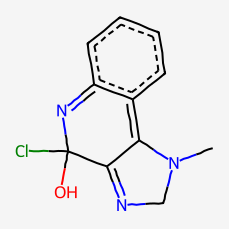 CN1CN=C2C1=c1ccccc1=NC2(O)Cl